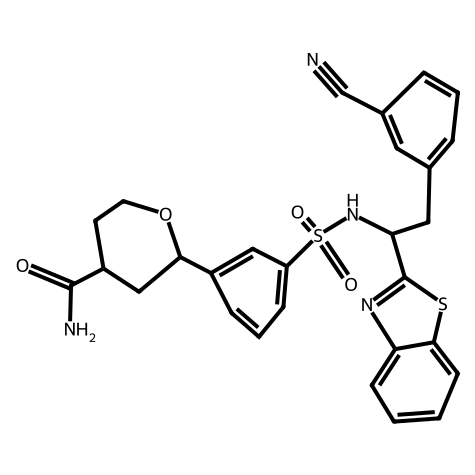 N#Cc1cccc(CC(NS(=O)(=O)c2cccc(C3CC(C(N)=O)CCO3)c2)c2nc3ccccc3s2)c1